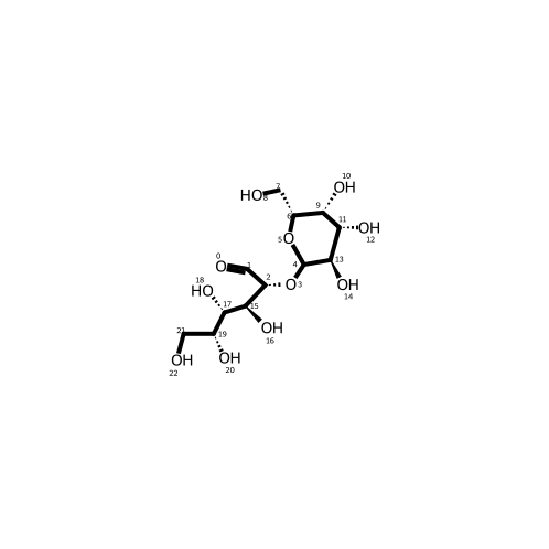 O=C[C@H](OC1O[C@H](CO)[C@H](O)[C@H](O)[C@H]1O)[C@@H](O)[C@@H](O)[C@H](O)CO